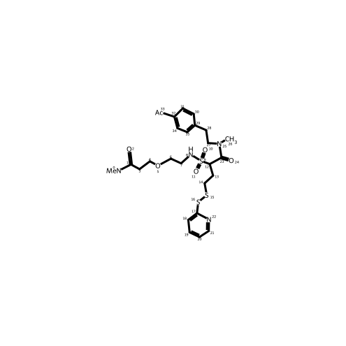 CNC(=O)CCOCCNS(=O)(=O)C(CCSSc1ccccn1)C(=O)N(C)CCc1ccc(C(C)=O)cc1